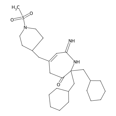 CS(=O)(=O)N1CCC(CC2=CC(=N)NC(CC3CCCCC3)(CC3CCCCC3)C(=O)C2)CC1